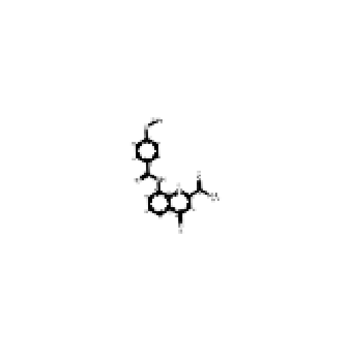 CC(C)Oc1ccc(C(=O)Nc2cccc3c(=O)cc(C(N)=S)oc23)cc1